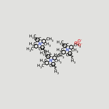 Cc1ccc([N+](c2ccc(C)cc2C)(c2ccc(C)cc2C)c2ccc(C)cc2C)c(C)c1.Cc1ccc([N+](c2ccc(C)cc2C)(c2ccc(C)cc2C)c2ccc(C)cc2C)c(C)c1.Cc1ccc([N+](c2ccc(C)cc2C)(c2ccc(C)cc2C)c2ccc(C)cc2C)c(C)c1.[O-]B([O-])[O-]